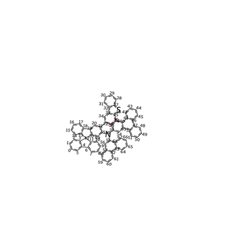 c1ccc2c(c1)-c1ccccc1C21c2ccccc2-c2cc(-c3ccc4sc5ccccc5c4c3)c(N(c3ccc4c5ccccc5c5ccccc5c4c3)c3cc4ccccc4c4ccccc34)cc21